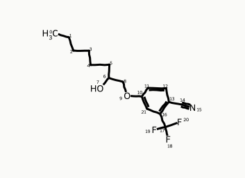 CCCCCCC(O)COc1ccc(C#N)c(C(F)(F)F)c1